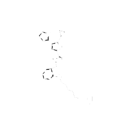 O=C(O)CCCCCOc1ccccc1CNC(=O)c1cc(-c2ccco2)c(C2CC2)o1